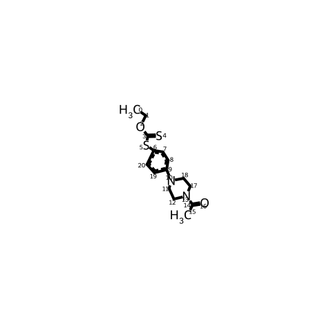 CCOC(=S)Sc1ccc(N2CCN(C(C)=O)CC2)cc1